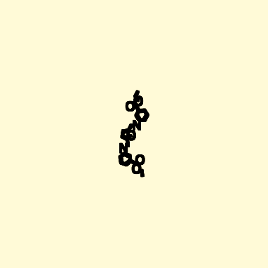 CCOC(=O)c1cccc(N=Cc2ccc(C=Nc3cccc(C(=O)OCC)c3)o2)c1